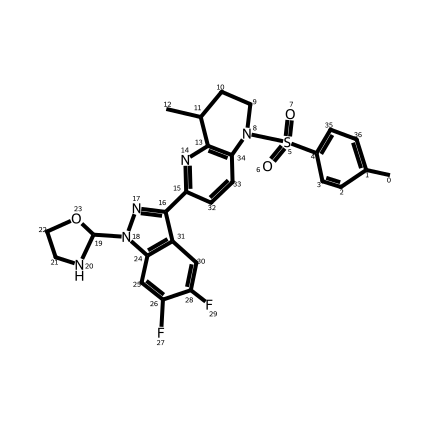 Cc1ccc(S(=O)(=O)N2CCC(C)c3nc(-c4nn(C5NCCO5)c5cc(F)c(F)cc45)ccc32)cc1